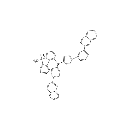 CC1(C)c2ccccc2-c2c(N(c3ccc(-c4cccc(-c5ccc6ccccc6c5)c4)cc3)c3ccc(-c4ccc5ccccc5c4)cc3)cccc21